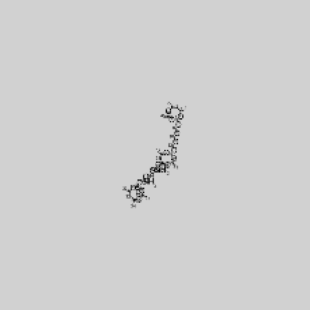 CC1CC(C)OC(OCOCOCOC2OC(C)CC(C)(O[SiH2]OCO[SiH2]O[SiH]3OC(C)CC(C)OC(C)O3)OC(C)O2)OC(C)O1